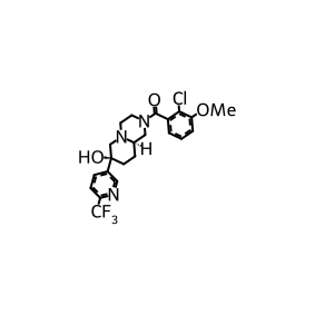 COc1cccc(C(=O)N2CCN3C[C@@](O)(c4ccc(C(F)(F)F)nc4)CC[C@@H]3C2)c1Cl